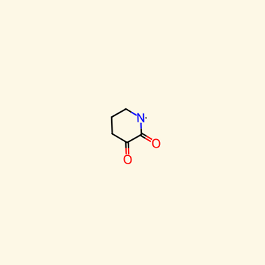 O=C1CCC[N]C1=O